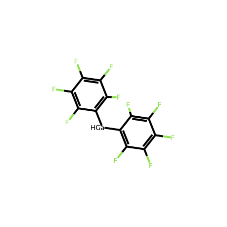 Fc1c(F)c(F)[c]([GaH][c]2c(F)c(F)c(F)c(F)c2F)c(F)c1F